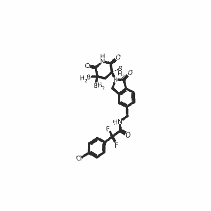 BC1(B)C[C@](B)(N2Cc3cc(CNC(=O)C(F)(F)c4ccc(Cl)cc4)ccc3C2=O)C(=O)NC1=O